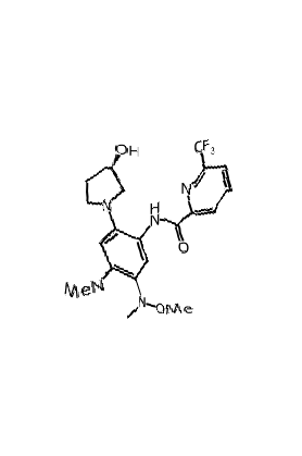 CNc1cc(N2CC[C@@H](O)C2)c(NC(=O)c2cccc(C(F)(F)F)n2)cc1N(C)OC